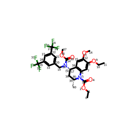 CCOC(=O)N1c2cc(OCC)c(OC)cc2[C@@H](N(Cc2cc(C(F)(F)F)cc(C(F)(F)F)c2)C(=O)OC)C[C@H]1C